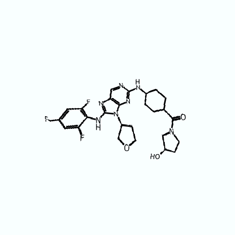 O=C(C1CCC(Nc2ncc3nc(Nc4c(F)cc(F)cc4F)n([C@H]4CCOC4)c3n2)CC1)N1CC[C@@H](O)C1